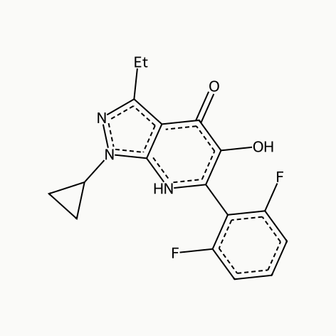 CCc1nn(C2CC2)c2[nH]c(-c3c(F)cccc3F)c(O)c(=O)c12